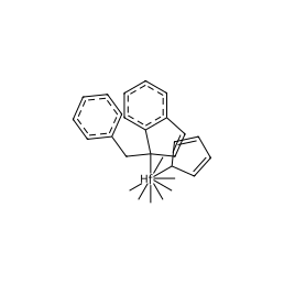 [CH3][Hf]([CH3])([CH3])([CH3])([CH3])([CH3])([CH3])([CH]1C=CC=C1)[C]1(Cc2ccccc2)C=Cc2ccccc21